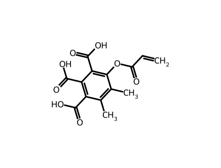 C=CC(=O)Oc1c(C)c(C)c(C(=O)O)c(C(=O)O)c1C(=O)O